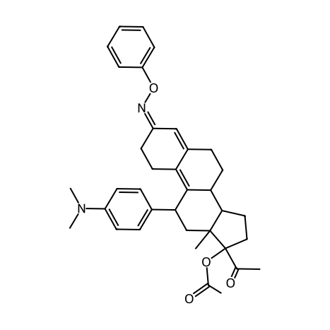 CC(=O)OC1(C(C)=O)CCC2C3CCC4=C/C(=N\Oc5ccccc5)CCC4=C3C(c3ccc(N(C)C)cc3)CC21C